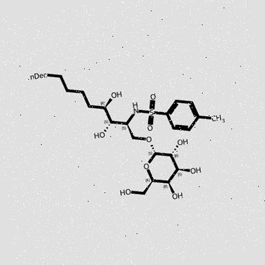 CCCCCCCCCCCCCC[C@@H](O)[C@@H](O)[C@H](CO[C@H]1O[C@H](CO)[C@H](O)[C@H](O)[C@H]1O)NS(=O)(=O)c1ccc(C)cc1